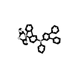 c1ccc(-c2ccc(N(c3ccccc3)c3ccc4c(c3)-c3ccccc3[Si]43c4ccccc4Oc4ccccc43)cc2-c2ccccc2)cc1